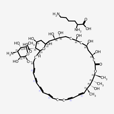 C[C@@H]1[C@H](O)[C@@H](C)/C=C/C=C/CC/C=C/C=C/C=C/C=C/[C@H](O[C@@H]2O[C@H](C)[C@@H](O)[C@H](N)[C@@H]2O)C[C@@H]2O[C@](O)(C[C@@H](O)[C@H](O)CC[C@@H](O)C[C@@H](O)C[C@@H](O)CC(=O)O[C@H]1C)C[C@H](O)[C@H]2C(=O)O.NCCCCC(N)C(=O)O